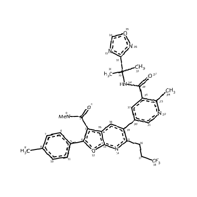 CNC(=O)c1c(-c2ccc(C)cc2)oc2nc(CCC(F)(F)F)c(-c3cnc(C)c(C(=O)NC(C)(C)c4ncon4)c3)cc12